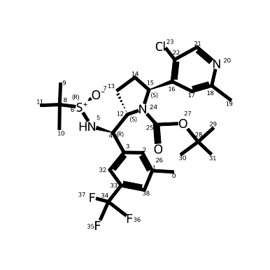 Cc1cc([C@@H](N[S@@+]([O-])C(C)(C)C)[C@@H]2CC[C@@H](c3cc(C)ncc3Cl)N2C(=O)OC(C)(C)C)cc(C(F)(F)F)c1